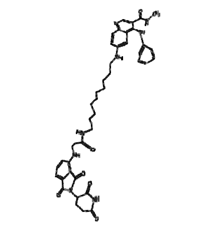 CNC(=O)c1cnc2ccc(NCCCCCCCCCCNC(=O)CNc3cccc4c3C(=O)N(C3CCC(=O)NC3=O)C4=O)cc2c1Nc1ccccc1